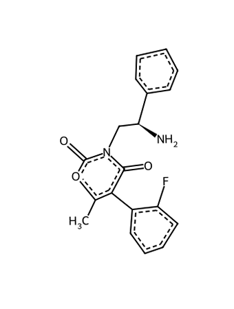 Cc1oc(=O)n(C[C@H](N)c2ccccc2)c(=O)c1-c1ccccc1F